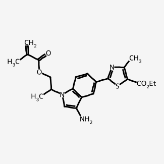 C=C(C)C(=O)OCC(C)n1cc(N)c2cc(-c3nc(C)c(C(=O)OCC)s3)ccc21